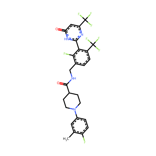 Cc1cc(N2CCC(C(=O)NCc3ccc(C(F)(F)F)c(-c4nc(C(F)(F)F)cc(=O)[nH]4)c3F)CC2)ccc1F